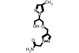 Cc1cnn(C(CO)COCc2cnn(CC(N)=O)c2)c1